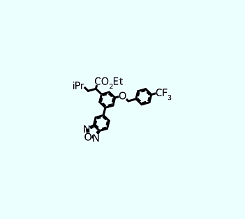 CCOC(=O)C(CC(C)C)c1cc(OCc2ccc(C(F)(F)F)cc2)cc(-c2ccc3nonc3c2)c1